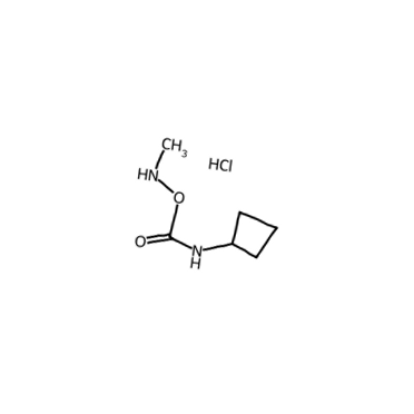 CNOC(=O)NC1CCC1.Cl